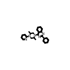 CC1CN(c2nc(-c3ccccc3)nc3ccccc23)C(C)CN1c1ccccn1